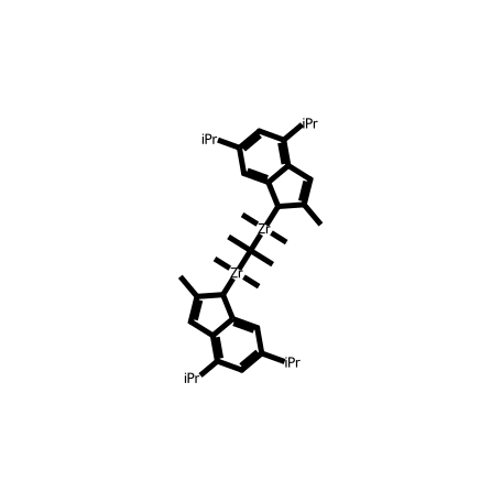 CC1=Cc2c(C(C)C)cc(C(C)C)cc2[CH]1[Zr]([CH3])([CH3])[C](C)(C)[Zr]([CH3])([CH3])[CH]1C(C)=Cc2c(C(C)C)cc(C(C)C)cc21